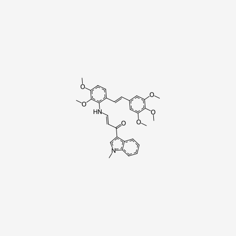 COc1cc(C=Cc2ccc(OC)c(OC)c2NC=CC(=O)c2cn(C)c3ccccc23)cc(OC)c1OC